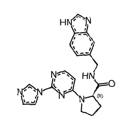 O=C(NCc1ccc2[nH]cnc2c1)[C@H]1CCCN1c1ccnc(-n2ccnc2)n1